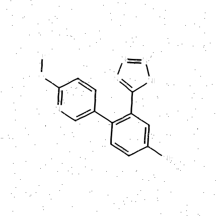 CC(C)Oc1ccc(-c2ccc(N)cc2-c2nnn[nH]2)cn1